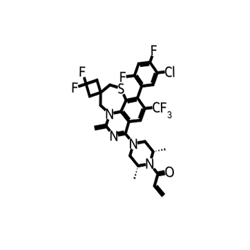 C=CC(=O)N1[C@H](C)CN(C2=NC(=C)N3CC4(CSc5c(-c6cc(Cl)c(F)cc6F)c(C(F)(F)F)cc2c53)CC(F)(F)C4)C[C@@H]1C